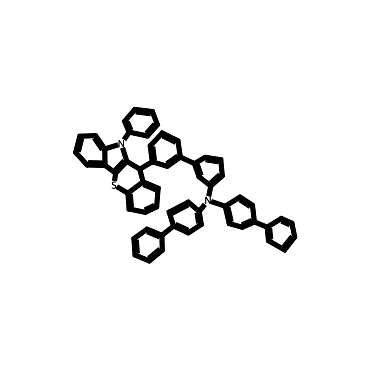 c1ccc(-c2ccc(N(c3ccc(-c4ccccc4)cc3)c3cccc(-c4cccc(C5c6ccccc6Sc6c5n(-c5ccccc5)c5ccccc65)c4)c3)cc2)cc1